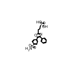 NS(=O)(=O)c1ccc(-c2oc(CCCP(=O)(O)O)nc2-c2ccccc2)cc1